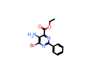 CCOC(=O)c1nc(-c2ccccc2)nc(Br)c1N